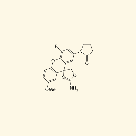 COc1ccc2c(c1)C1(COC(N)=N1)c1cc(N3CCCC3=O)cc(F)c1O2